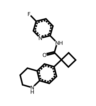 O=C(Nc1ccc(F)cn1)C1(c2ccc3c(c2)CCCN3)CCC1